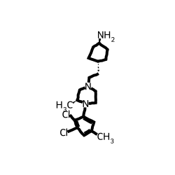 Cc1cc(Cl)c(Cl)c(N2CCN(CC[C@H]3CC[C@H](N)CC3)C[C@H]2C)c1